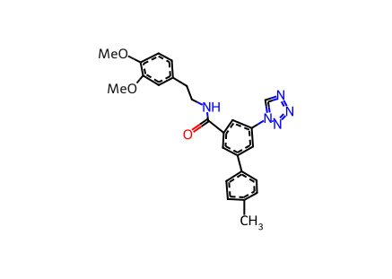 COc1ccc(CCNC(=O)c2cc(-c3ccc(C)cc3)cc(-n3cnnn3)c2)cc1OC